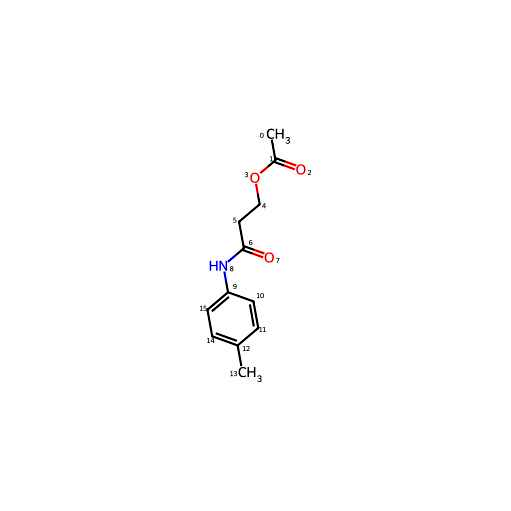 CC(=O)OCCC(=O)Nc1ccc(C)cc1